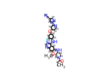 C=CC(=O)N1CCC(Nc2cc3c(Nc4ccc(Oc5ccnc(-n6cc(C#N)cn6)c5)cc4F)ncnc3cc2OC)CC1